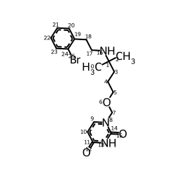 CC(C)(CCCOCn1ccc(=O)[nH]c1=O)NCCc1ccccc1Br